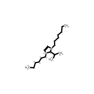 CCCCCCCN1C=CN(CCCCCC)C1C(C)C